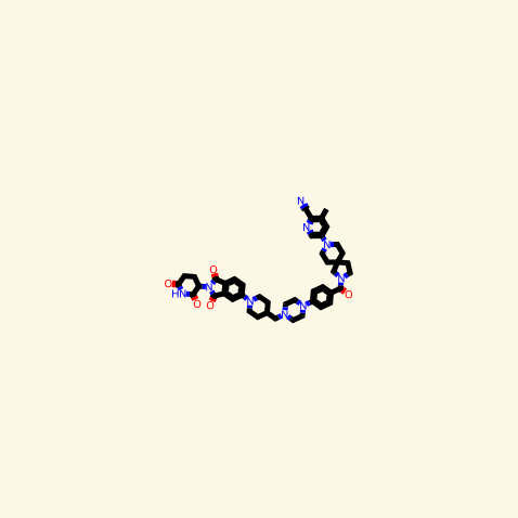 Cc1cc(N2CCC3(CCN(C(=O)c4ccc(N5CCN(CC6CCN(c7ccc8c(c7)C(=O)N(C7CCC(=O)NC7=O)C8=O)CC6)CC5)cc4)C3)CC2)cnc1C#N